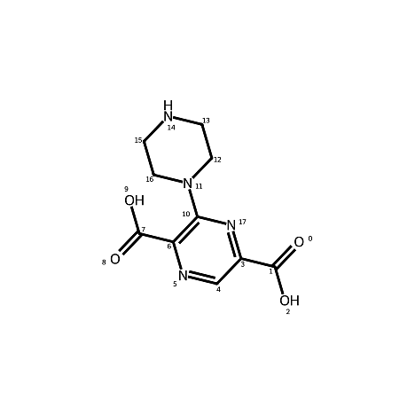 O=C(O)c1cnc(C(=O)O)c(N2CCNCC2)n1